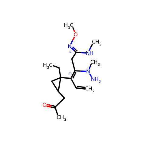 C=C/C(=C(/C/C(=N/OC)NC)N(C)N)C1(CC)CC1CC(C)=O